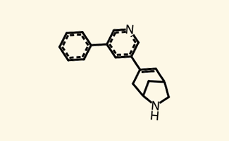 C1=C(c2cncc(-c3ccccc3)c2)CC2CC1CN2